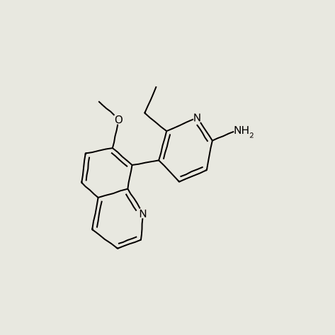 CCc1nc(N)ccc1-c1c(OC)ccc2cccnc12